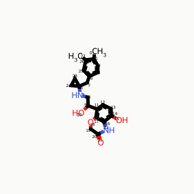 Cc1ccc(CC2(NCC(O)c3ccc(O)c4c3OCC(=O)N4)CC2)cc1C